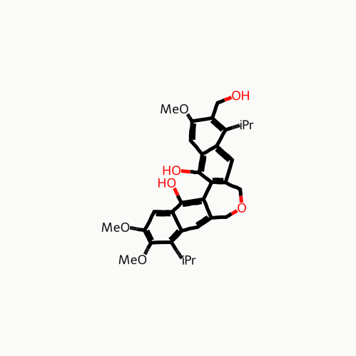 COc1cc2c(O)c3c(cc2c(C(C)C)c1CO)COCc1cc2c(C(C)C)c(OC)c(OC)cc2c(O)c1-3